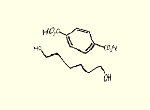 O=C(O)c1ccc(C(=O)O)cc1.OCCCCCCO